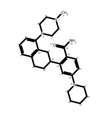 CN1CCN(c2cccc3c2CC(c2cc(N4CCCCC4)ccc2C(N)=O)CC3)CC1